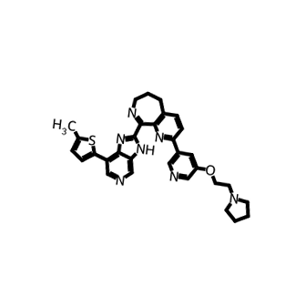 Cc1ccc(-c2cncc3[nH]c(C4=NCCCc5ccc(-c6cncc(OCCN7CCCC7)c6)nc54)nc23)s1